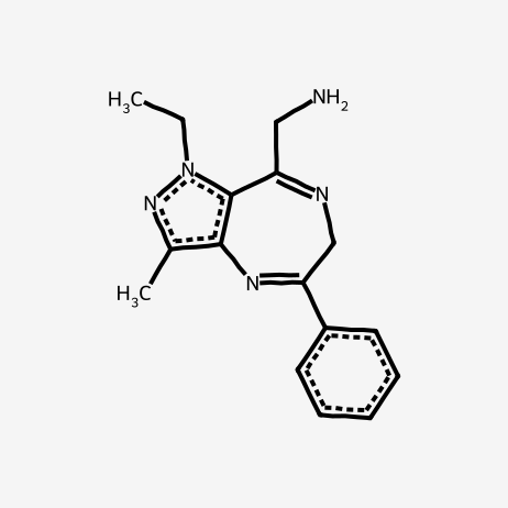 CCn1nc(C)c2c1C(CN)=NCC(c1ccccc1)=N2